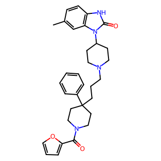 Cc1ccc2[nH]c(=O)n(C3CCN(CCCC4(c5ccccc5)CCN(C(=O)c5ccco5)CC4)CC3)c2c1